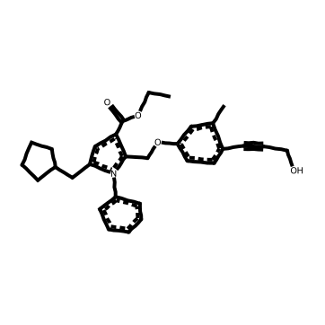 CCOC(=O)c1cc(CC2CCCC2)n(-c2ccccc2)c1COc1ccc(C#CCO)c(C)c1